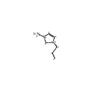 CCCN1C=CN(N)C1